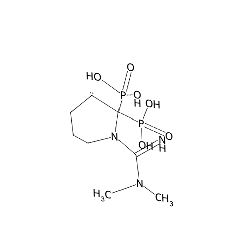 CN(C)C(=N)N1CCC[C]C1(P(=O)(O)O)P(=O)(O)O